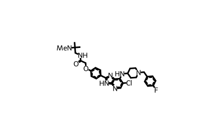 CNC(C)(C)CNC(=O)COc1ccc(-c2nc3c(NC4CCN(Cc5ccc(F)cc5)CC4)c(Cl)cnc3[nH]2)cc1